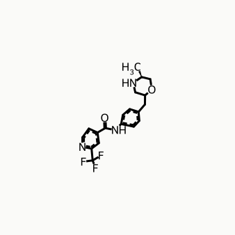 C[C@H]1COC(Cc2ccc(NC(=O)c3ccnc(C(F)(F)F)c3)cc2)CN1